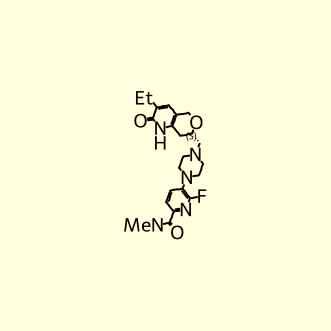 CCc1cc2c([nH]c1=O)C[C@@H](CN1CCN(c3ccc(C(=O)NC)nc3F)CC1)OC2